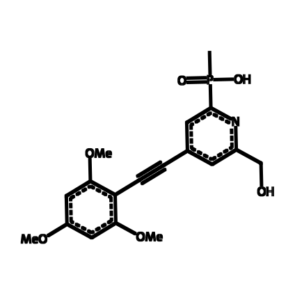 COc1cc(OC)c(C#Cc2cc(CO)nc(P(C)(=O)O)c2)c(OC)c1